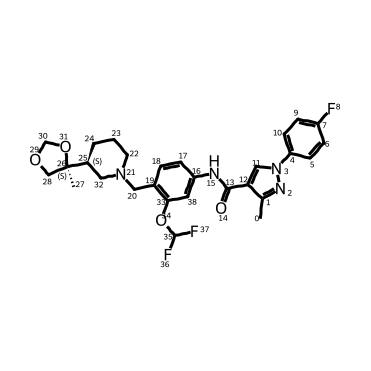 Cc1nn(-c2ccc(F)cc2)cc1C(=O)Nc1ccc(CN2CCC[C@H]([C@@]3(C)COCO3)C2)c(OC(F)F)c1